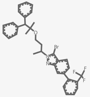 CC(CCOC(C)(C)C(c1ccccc1)c1ccccc1)n1nc2cc(-c3ccccc3C(F)(F)F)ccc2c1Br